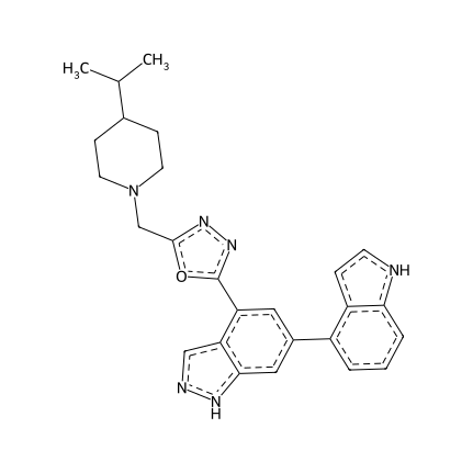 CC(C)C1CCN(Cc2nnc(-c3cc(-c4cccc5[nH]ccc45)cc4[nH]ncc34)o2)CC1